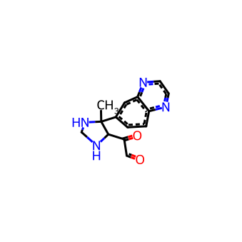 CC1(c2ccc3nccnc3c2)NCNC1C(=O)C=O